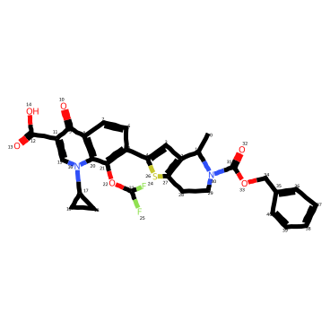 CC1c2cc(-c3ccc4c(=O)c(C(=O)O)cn(C5CC5)c4c3OC(F)F)sc2CCN1C(=O)OCc1ccccc1